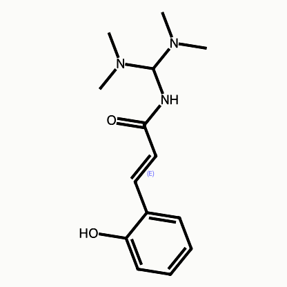 CN(C)C(NC(=O)/C=C/c1ccccc1O)N(C)C